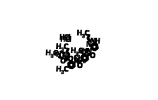 CCCCC(C=O)(Oc1cc(C)ccc1N(C)C(=O)c1ccc(C(=O)Nc2cccc3[nH]c(CCC)nc23)c(OC)c1)N1CCN(C)CC1.Cl.Cl